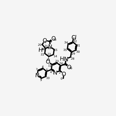 COc1nc(-c2ccncc2)c(O[C@H]2CCN3C(=O)OC[C@@H]3C2)cc1C(=O)NCc1ccc(Cl)cc1